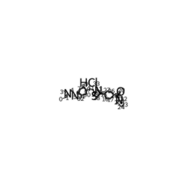 CCN(C)C=Nc1cc(C)c(Cc2nc(-c3ccc(C(=O)N4CCCC4)cc3)cs2)cc1C.Cl